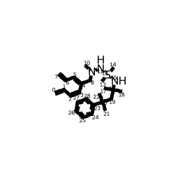 C=C/C=C\C(=C/C=C)CN(C)NS(C)(C)NC(C)(C)CC(C)(C)c1ccccc1